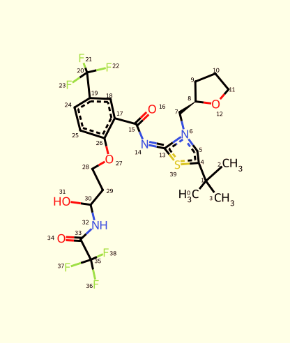 CC(C)(C)c1cn(C[C@H]2CCCO2)c(=NC(=O)c2cc(C(F)(F)F)ccc2OCCC(O)NC(=O)C(F)(F)F)s1